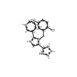 Clc1ccc(Cl)c(Cn2c(-c3nnn[nH]3)cnc2-c2cccnc2)c1